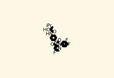 CC(C)C[C@H](O)C(=O)N[C@H]1CC[C@@H](n2c(=O)c3cc(F)cnc3n(-c3ccc(F)c(F)c3)c2=O)CC1